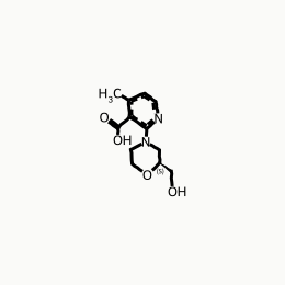 Cc1ccnc(N2CCO[C@H](CO)C2)c1C(=O)O